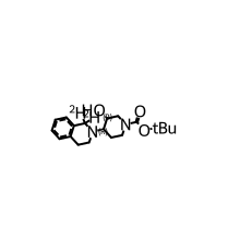 [2H]C1([2H])c2ccccc2CCN1[C@@H]1CCN(C(=O)OC(C)(C)C)C[C@H]1O